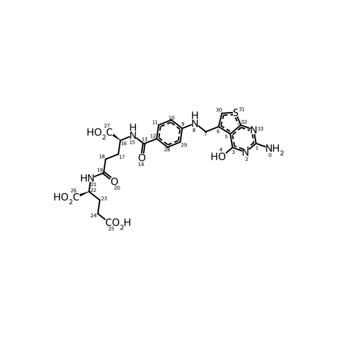 Nc1nc(O)c2c(CNc3ccc(C(=O)N[C@@H](CCC(=O)N[C@@H](CCC(=O)O)C(=O)O)C(=O)O)cc3)csc2n1